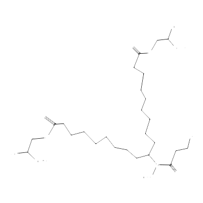 CCCCCCCCCCN(C(=O)CCBr)C(CCCCCCCCC(=O)OCC(CCCC)CCCCCC)CCCCCCCCC(=O)OCC(CCCC)CCCCCC